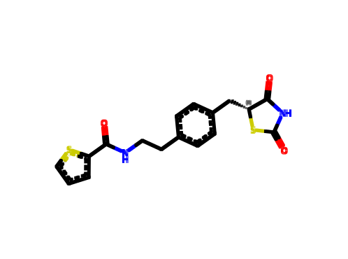 O=C1NC(=O)[C@@H](Cc2ccc(CCNC(=O)c3cccs3)cc2)S1